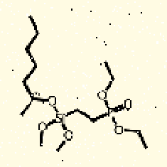 CCCCC[C@H](C)O[Si](CCP(=O)(OCC)OCC)(OC)OC